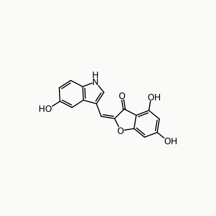 O=C1/C(=C\c2c[nH]c3ccc(O)cc23)Oc2cc(O)cc(O)c21